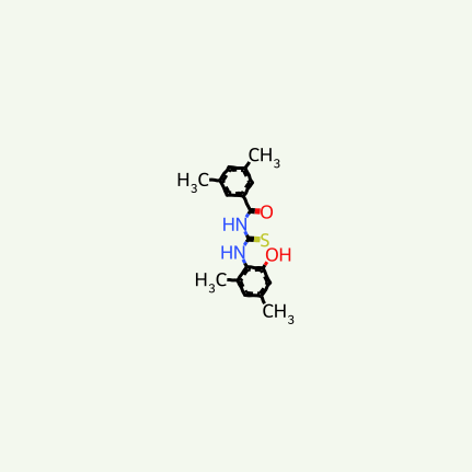 Cc1cc(C)cc(C(=O)NC(=S)Nc2c(C)cc(C)cc2O)c1